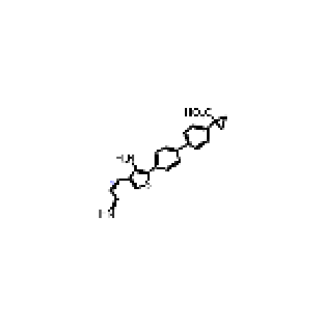 N=C/C=C\c1csc(-c2ccc(-c3ccc(C4(C(=O)O)CC4)cc3)cc2)c1N